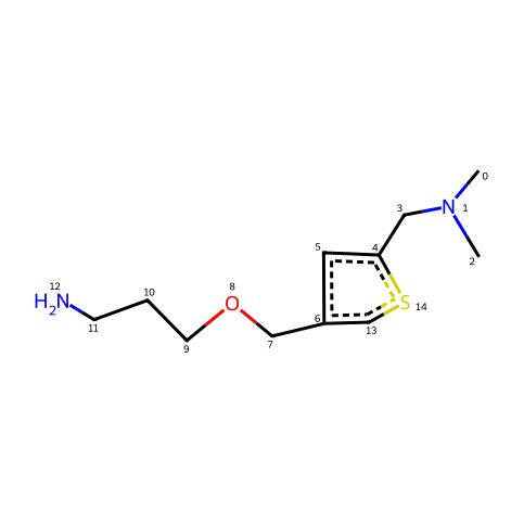 CN(C)Cc1cc(COCCCN)cs1